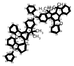 CC1(C)C2=C3C(c4ccccc4C3(C)C)C3Oc4ccccc4C3=C2c2ccc(N(c3ccccc3)c3ccc4c(c3)C(C)(C)c3cc(-c5cccc6c5c5ccccc5n6-c5ccccc5)c5oc6ccccc6c5c3-4)cc21